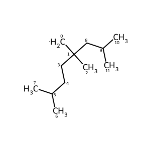 [CH2]C(C)(CCC(C)C)CC(C)C